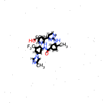 Cc1cn(-c2cc(NC(=O)c3ccc(C)c(Nc4nccc(-c5cccnc5)n4)c3)cc(C(F)(F)F)c2)cn1.O=S(=O)(O)O